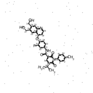 Cc1ccc(-n2c(=O)c(C(=O)Nc3ccc(Oc4ccnc5cc(CO)c(CO)cc45)c(F)c3)cn(C(C)C)c2=O)cc1